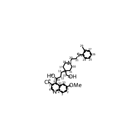 COc1ccc2ncc(Cl)c([C@@H](O)CCC3(CO)CCN(CCSc4ccccc4C)CC3)c2c1